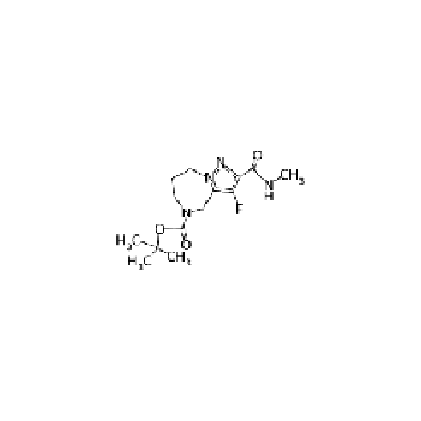 CNC(=O)c1nn2c(c1F)CN(C(=O)OC(C)(C)C)CCC2